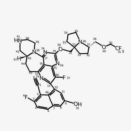 C#Cc1c(F)ccc2cc(O)cc(-c3nc4c5c(nc(OC[C@@]67CCCN6[C@H](COCC(F)(F)F)CC7)nc5c3F)N3CCNC[C@H]3CC4)c12